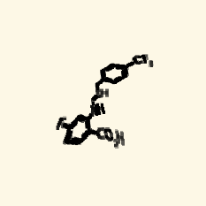 O=C(O)c1ccc(F)cc1NC=[SH]Cc1ccc(C(F)(F)F)cc1